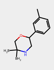 BC1(B)COC(c2cccc(C)c2)CN1